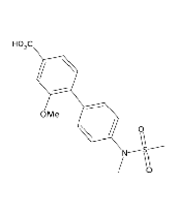 COc1cc(C(=O)O)ccc1-c1ccc(N(C)S(C)(=O)=O)cc1